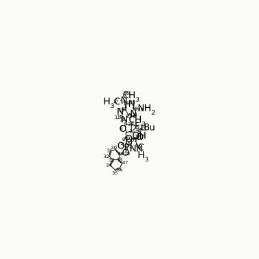 C[C@H](N[P@@](=O)(OC[C@H]1O[C@@H](n2cnc3c(N(C)C)nc(N)nc32)[C@](C)(F)[C@@H]1O)Oc1cccc2ccccc12)C(=O)OCC(C)(C)C